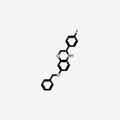 Fc1ccc(C2COc3cc(OCc4ccccc4)ccc3N2)cc1